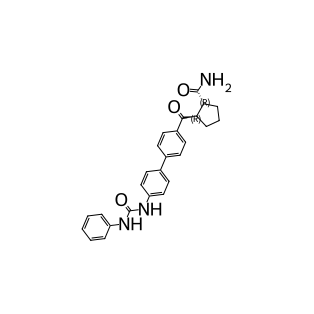 NC(=O)[C@@H]1CCC[C@H]1C(=O)c1ccc(-c2ccc(NC(=O)Nc3ccccc3)cc2)cc1